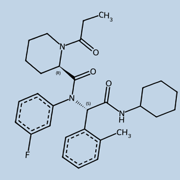 CCC(=O)N1CCCC[C@@H]1C(=O)N(c1cccc(F)c1)[C@H](C(=O)NC1CCCCC1)c1ccccc1C